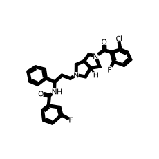 O=C(NC(CCN1CC2CN(C(=O)c3c(F)cccc3Cl)C[C@@H]2C1)c1ccccc1)c1cccc(F)c1